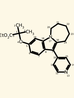 CCOC(=O)C(C)(C)Oc1ccc2c(-c3ccncc3)c3n(c2c1)CCCCC3